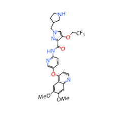 COc1cc2nccc(Oc3ccc(NC(=O)c4nn(CC5CCNC5)cc4OCC(F)(F)F)nc3)c2cc1OC